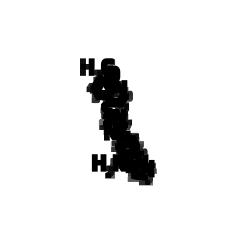 COc1cccc2c(Sc3cnc(N4CCC5(CC4)Cn4nccc4[C@H]5N)cn3)ccnc12